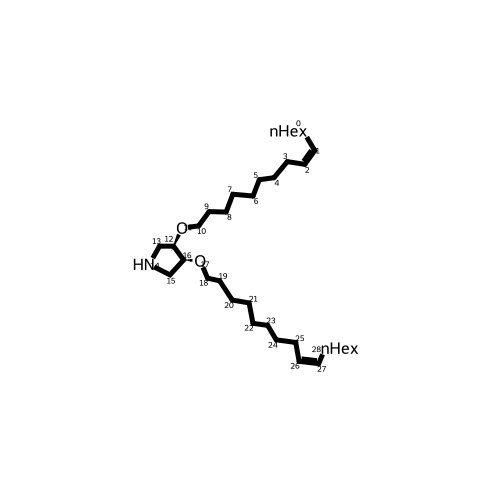 CCCCCC/C=C\CCCCCCCCO[C@@H]1CNC[C@H]1OCCCCCCCC/C=C\CCCCCC